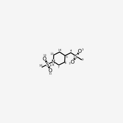 CS(=O)(=O)CC1CCN(S(C)(=O)=O)CC1